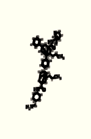 CCC[C@]12CC3CC(C(=O)N[C@H]4CC[C@@H](CN)CC4)(C1)C[C@@](c1ccc(C4C5CC6(C(=O)N[C@@H]7CN8CCC7CC8)C[C@@](c7ccccc7)(C5)C[C@]4(CCC)C6)cc1)(C3)C2